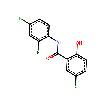 O=C(Nc1ccc(F)cc1F)c1cc(F)ccc1O